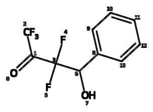 O=C(C(F)(F)F)C(F)(F)C(O)c1ccccc1